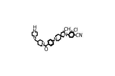 C[C@H]1CC2(CCN(c3ccc(C(=O)N4CCC(CN5CCNCC5)CC4)cc3)CC2)CN1c1ccc(C#N)c(Cl)c1